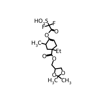 CCC1(C(=O)OCC2COC(C)(C)O2)CC=C(OC(=O)C(F)(F)S(=O)(=O)O)C(C)C1